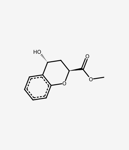 COC(=O)[C@@H]1C[C@@H](O)c2ccccc2O1